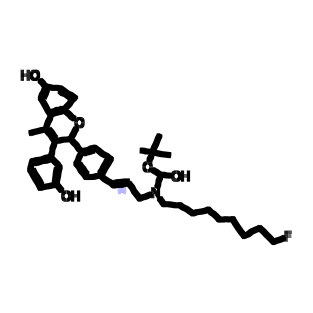 CC1=C(c2cccc(O)c2)C(c2ccc(/C=C/CN(CCCCCCCCCF)C(O)OC(C)(C)C)cc2)Oc2ccc(O)cc21